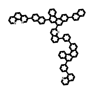 c1cc(-c2cc3ccc4ccc(-c5cccc(-c6cccc7ccc(-c8cc9cc(-c%10ccc%11ccccc%11c%10)ccc9c9c8cc(-c8ccc%10cc(-c%11cnc%12c(ccc%13cccnc%13%12)c%11)ccc%10c8)c8ccccc89)nc67)c5)cc4c3c3ccccc23)cc(-c2cccc3cccnc23)c1